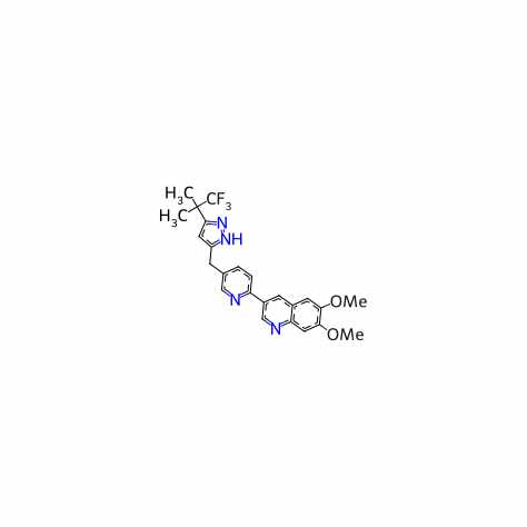 COc1cc2cc(-c3ccc(Cc4cc(C(C)(C)C(F)(F)F)n[nH]4)cn3)cnc2cc1OC